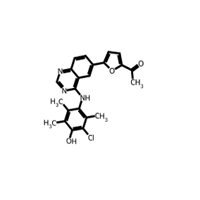 CC(=O)c1ccc(-c2ccc3ncnc(Nc4c(C)c(C)c(O)c(Cl)c4C)c3c2)o1